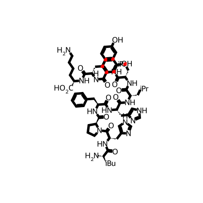 CC[C@H](C)[C@H](N)C(=O)N[C@@H](Cc1c[nH]cn1)C(=O)N1CCC[C@H]1C(=O)N[C@@H](Cc1ccccc1)C(=O)N[C@@H](Cc1c[nH]cn1)C(=O)N[C@@H](CC(C)C)C(=O)N[C@@H](CC(C)C)C(=O)N[C@@H](Cc1ccc(O)cc1)C(=O)N[C@@H](Cc1ccc(O)cc1)C(=O)N[C@@H](CCCCN)C(=O)O